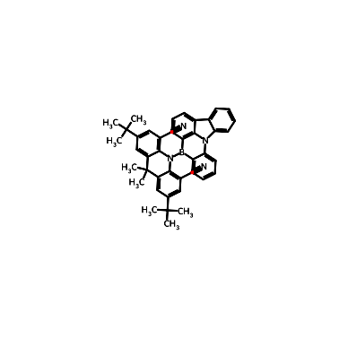 CC(C)(C)c1cc(C#N)c2c(c1)C(C)(C)c1cc(C(C)(C)C)cc(C#N)c1N2B1c2ccccc2-n2c3ccccc3c3cccc1c32